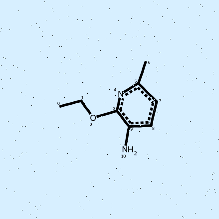 CCOc1nc(C)ccc1N